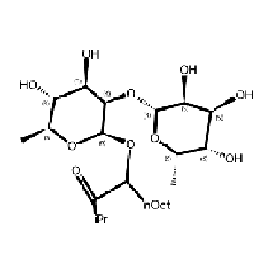 CCCCCCCCC(O[C@H]1O[C@@H](C)[C@H](O)[C@@H](O)[C@H]1O[C@H]1O[C@@H](C)[C@@H](O)[C@H](O)[C@@H]1O)C(=O)C(C)C